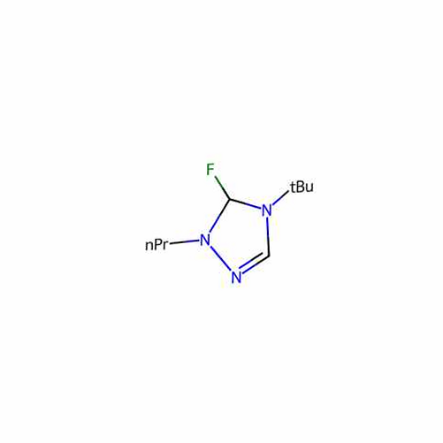 CCCN1N=CN(C(C)(C)C)C1F